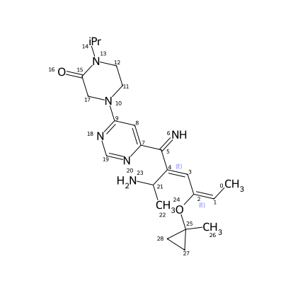 C/C=C(\C=C(\C(=N)c1cc(N2CCN(C(C)C)C(=O)C2)ncn1)C(C)N)OC1(C)CC1